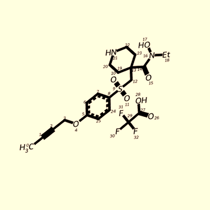 CC#CCOc1ccc(S(=O)(=O)CC2(C(=O)N(O)CC)CCNCC2)cc1.O=C(O)C(F)(F)F